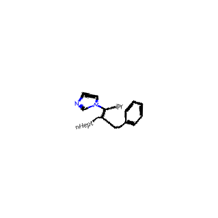 CCCCCCCC(Cc1ccccc1)C(C(C)C)n1ccnc1